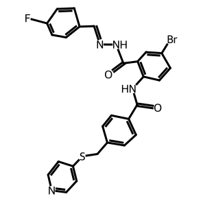 O=C(Nc1ccc(Br)cc1C(=O)NN=Cc1ccc(F)cc1)c1ccc(CSc2ccncc2)cc1